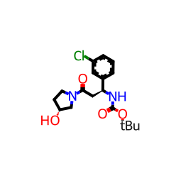 CC(C)(C)OC(=O)N[C@@H](CC(=O)N1CC[C@@H](O)C1)c1cccc(Cl)c1